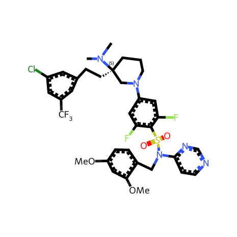 COc1ccc(CN(c2ccncn2)S(=O)(=O)c2c(F)cc(N3CCC[C@](CCc4cc(Cl)cc(C(F)(F)F)c4)(N(C)C)C3)cc2F)c(OC)c1